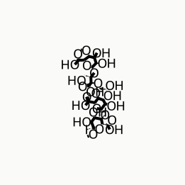 CO[C@@H]1C(C(=O)O)O[C@@H](O[C@@H](CO)[C@@H](O[C@H](CO)O[C@@H]2C(C(=O)O)O[C@@H](O[C@H]3C(O)C(O)[C@](I)(OC)O[C@H]3C(=O)O)C(O)[C@H]2O)C(=O)O)[C@@H](O)C1O